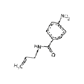 C=CCNC(=O)c1ccc([N+](=O)[O-])cc1